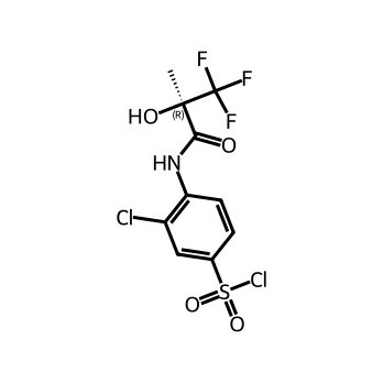 C[C@@](O)(C(=O)Nc1ccc(S(=O)(=O)Cl)cc1Cl)C(F)(F)F